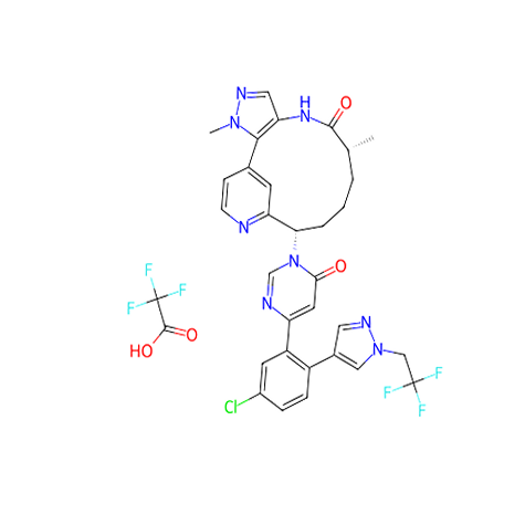 C[C@@H]1CCC[C@H](n2cnc(-c3cc(Cl)ccc3-c3cnn(CC(F)(F)F)c3)cc2=O)c2cc(ccn2)-c2c(cnn2C)NC1=O.O=C(O)C(F)(F)F